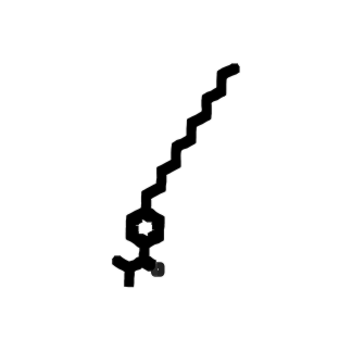 CCCCCCCCCCCCc1ccc(C(=O)C(C)C)cc1